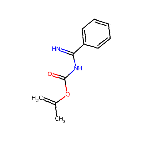 C=C(C)OC(=O)NC(=N)c1cc[c]cc1